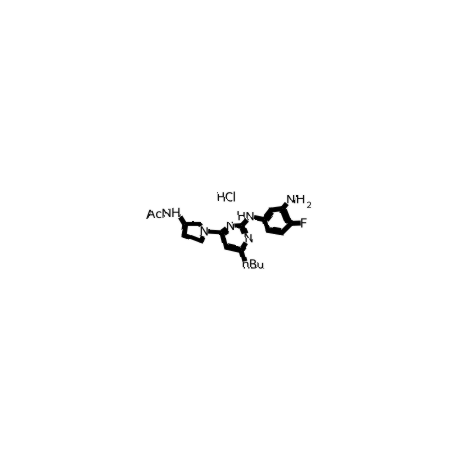 CCCCc1cc(N2CCC(NC(C)=O)C2)nc(Nc2ccc(F)c(N)c2)n1.Cl